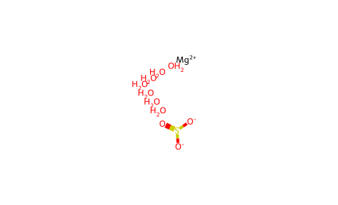 O.O.O.O.O.O.O.O=S([O-])[O-].[Mg+2]